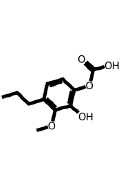 CCCc1ccc(OC(=O)O)c(O)c1OC